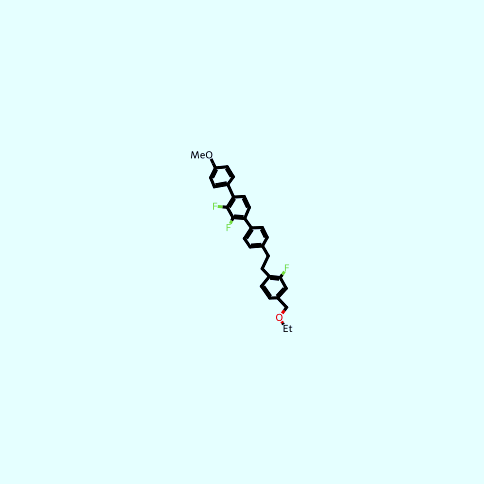 CCOCc1ccc(CCc2ccc(-c3ccc(-c4ccc(OC)cc4)c(F)c3F)cc2)c(F)c1